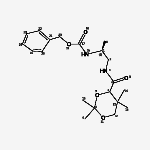 C[C@@H](CNC(=O)C1OC(C)(C)OCC1(C)C)NC(=O)OCc1ccccc1